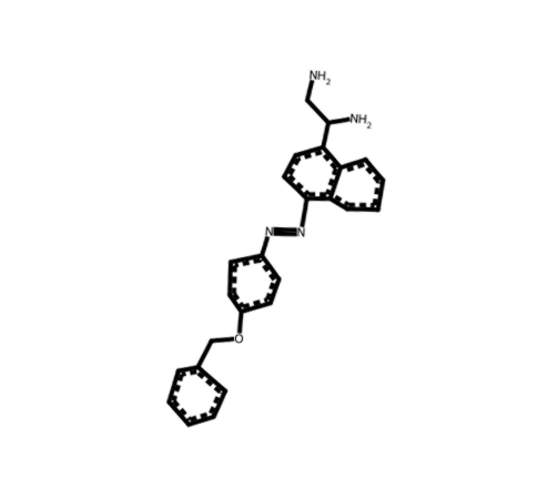 NCC(N)c1ccc(N=Nc2ccc(OCc3ccccc3)cc2)c2ccccc12